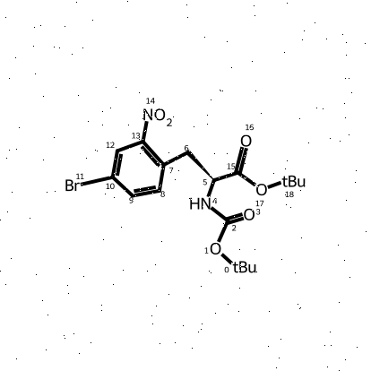 CC(C)(C)OC(=O)N[C@@H](Cc1ccc(Br)cc1[N+](=O)[O-])C(=O)OC(C)(C)C